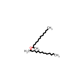 C=C(CCCCCCCCCCCCC)OC(=C)CCCCCCCCCCCCC